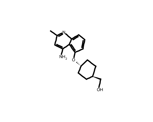 Cc1cc(N)c2c(O[C@H]3CC[C@H](CO)CC3)cccc2n1